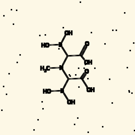 CN(C(B(O)O)C(=O)O)C(B(O)O)C(=O)O